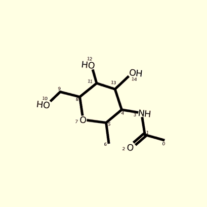 CC(=O)NC1C(C)OC(CO)C(O)C1O